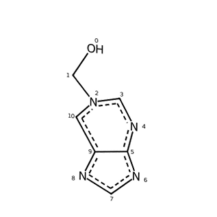 OCn1cnc2ncnc-2c1